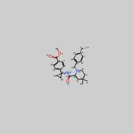 COC(=O)c1ccc(C2(NC(=O)C3CC(C)(C)CCN3Cc3ccc(CF)cc3)CC2)cc1